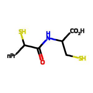 CCCC(S)C(=O)NC(CS)C(=O)O